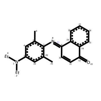 CCN(CC)c1cc(C)c(/N=C2\C=CC(=O)c3ccccc32)c(C)c1